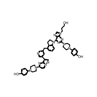 OCCCn1cnc2c(N3CCc4c(Cc5cncc(-c6cnn7ccc(N8CCN(c9ccc(O)cc9)CC8)nc67)c5)cccc43)nc(N3CCN(c4ccc(O)cc4)CC3)nc21